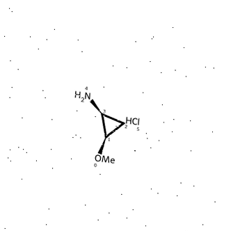 CO[C@@H]1C[C@@H]1N.Cl